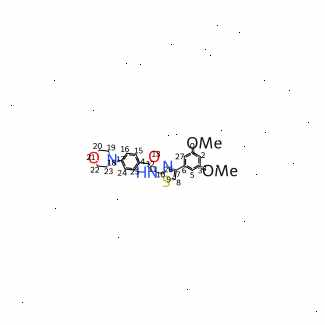 COc1cc(OC)cc(-c2csc(NC(=O)c3ccc(N4CCOCC4)cc3)n2)c1